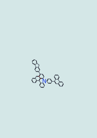 c1ccc2c(c1)Cc1cc(-c3ccc(N(c4ccc(-c5cc6ccccc6c6ccccc56)cc4)c4ccccc4-c4cccc5ccccc45)cc3)ccc1-2